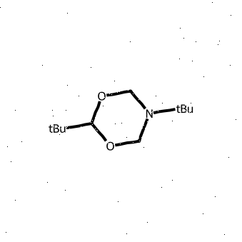 CC(C)(C)C1OCN(C(C)(C)C)CO1